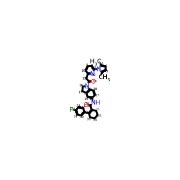 Cc1ccc(C)n1-c1cccc(CC(=O)N2CCc3cc(NC(=O)C4=C(c5ccc(F)cc5)CCCC4)ccc32)n1